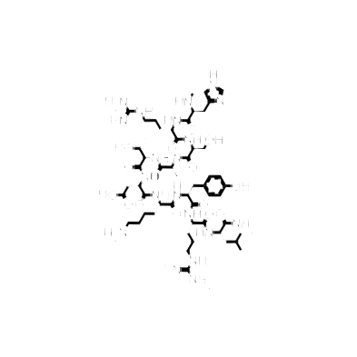 CN[C@@H](Cc1c[nH]cn1)C(=O)N[C@@H](CCCNC(=N)N)C(=O)N[C@@H](CO)C(=O)N[C@@H](C)C(=O)N[C@H](C(=O)N[C@@H](CC(=O)O)C(=O)N[C@@H](CCCCN)C(=O)N[C@@H](Cc1ccc(O)cc1)C(=O)N[C@@H](CCCNC(=N)N)C(=O)N[C@@H](CC(C)C)C(N)=O)[C@@H](C)O